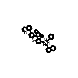 c1ccc(-c2nc(-c3ccc4c(c3)C3(c5cc(-c6cccc7cccnc67)ccc5S4)c4ccccc4-c4ccccc43)nc(-c3cccc4ccccc34)n2)cc1